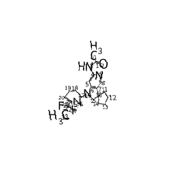 CC(=O)Nc1cc2c(cn1)C1(CCCC1)CN2c1cccc(C(C)(F)F)n1